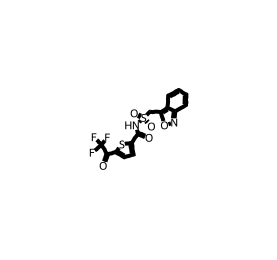 O=C(NS(=O)(=O)Cc1onc2ccccc12)c1ccc(C(=O)C(F)(F)F)s1